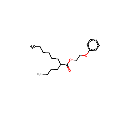 CCCCCCC(CCCC)C(=O)OCCOc1ccccc1